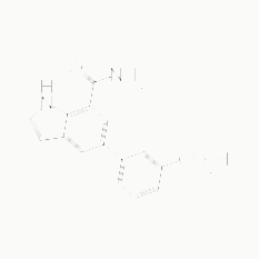 NC(=O)c1cc(-c2cccc(C(=O)O)c2)cc2cc[nH]c12